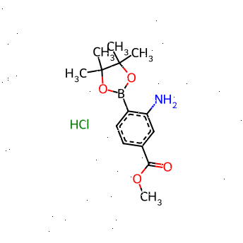 COC(=O)c1ccc(B2OC(C)(C)C(C)(C)O2)c(N)c1.Cl